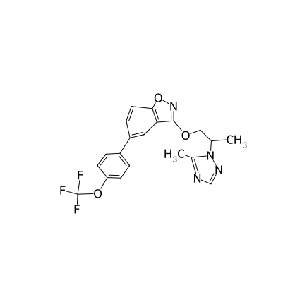 Cc1ncnn1C(C)COc1noc2ccc(-c3ccc(OC(F)(F)F)cc3)cc12